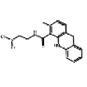 CCN(CC)CCNC(=O)c1c(I)ccc2c1Nc1ccccc1C2